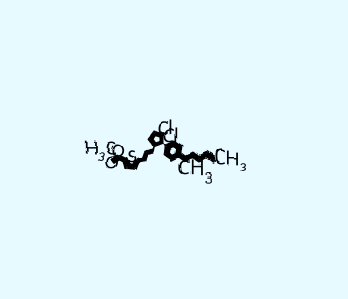 CCCCC[C@@H](C)c1ccc([C@@H]2[C@@H](CCCc3ccc(C(=O)OC)s3)CCC2(Cl)Cl)cc1